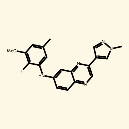 COc1cc(C)cc(Nc2ccc3ncc(-c4cnn(C)c4)nc3c2)c1F